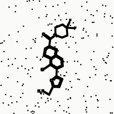 NCc1ccc(-c2ccc3cc(C(=O)N4CCC(F)(F)CC4)ccc3c2Cl)o1